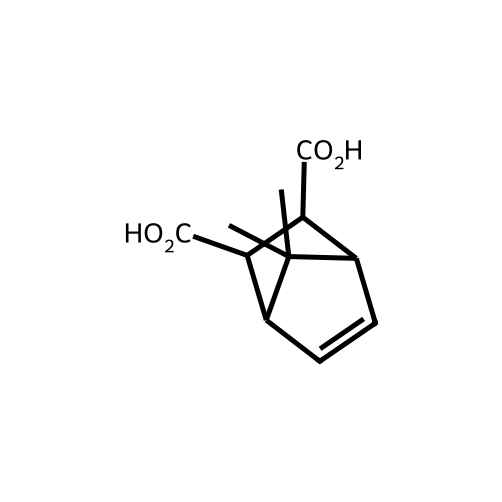 CC1(C)C2C=CC1C(C(=O)O)C2C(=O)O